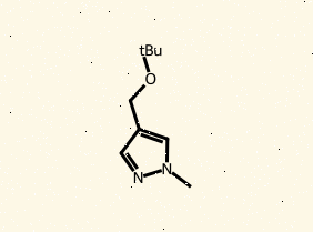 Cn1cc(COC(C)(C)C)cn1